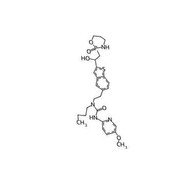 CCCCN(CCc1ccc2sc(C(O)CP3(=O)NCCCO3)cc2c1)C(=O)Nc1ccc(OC)cn1